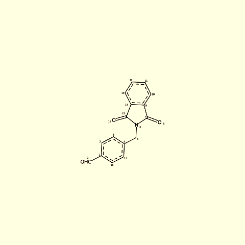 O=Cc1ccc(CN2C(=O)c3ccccc3C2=O)cc1